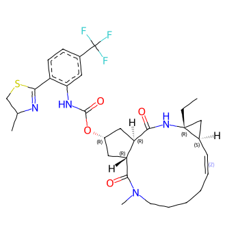 CC[C@@]12C[C@H]1/C=C\CCCCN(C)C(=O)[C@@H]1C[C@H](OC(=O)Nc3cc(C(F)(F)F)ccc3C3=NC(C)CS3)C[C@H]1C(=O)N2